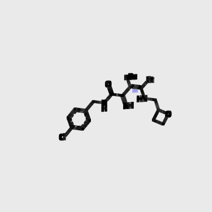 CCCC/C(C(=N)C(=O)NCc1ccc(Cl)cc1)=C(\CC)NCC1CCO1